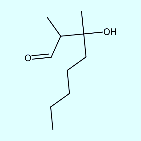 CCCCCC(C)(O)C(C)C=O